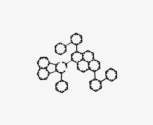 c1ccc(-c2ccccc2-c2ccc3ccc4c(-c5ccccc5-c5ccccc5)cc(-c5nc(-c6ccccc6)c6c(n5)-c5cccc7cccc-6c57)c5ccc2c3c54)cc1